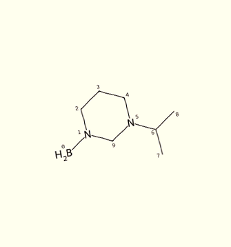 BN1CCCN(C(C)C)C1